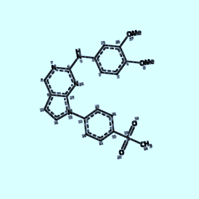 COc1ccc(Nc2ncc3ccn(-c4ccc(S(C)(=O)=O)cc4)c3n2)cc1OC